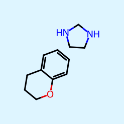 C1CNCN1.c1ccc2c(c1)CCCO2